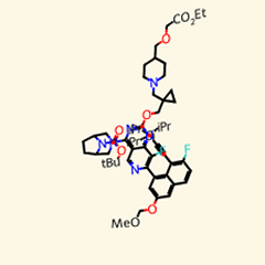 CCOC(=O)COCC1CCN(CC2(COc3nc(N4CC5CCC(C4)N5C(=O)OC(C)(C)C)c4cnc(-c5cc(OCOC)cc6ccc(F)c(C#C[Si](C(C)C)(C(C)C)C(C)C)c56)c(F)c4n3)CC2)CC1